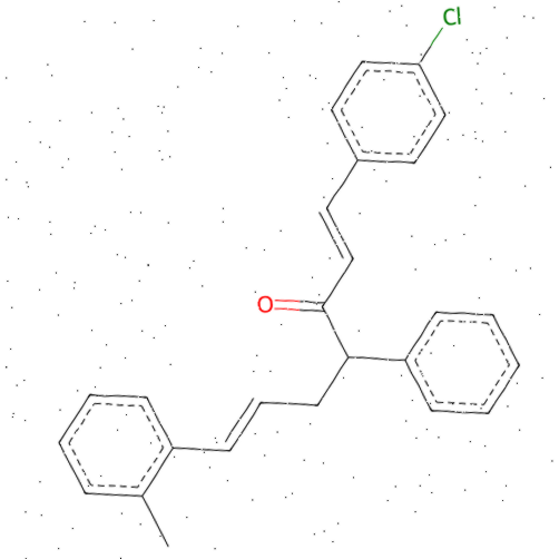 Cc1ccccc1/C=C/CC(C(=O)/C=C/c1ccc(Cl)cc1)c1ccccc1